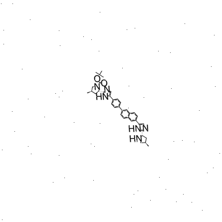 C[C@@H]1C[C@@H](c2ncc(-c3ccc(-c4ccc5cc(-c6cnc([C@@H]7C[C@@H](C)CN7)[nH]6)ccc5c4)cc3)[nH]2)N(C(=O)OC(C)(C)C)C1